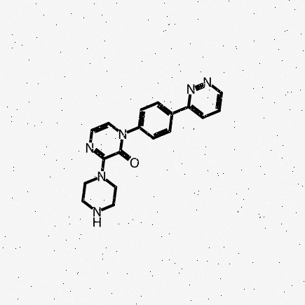 O=c1c(N2CCNCC2)nccn1-c1ccc(-c2cccnn2)cc1